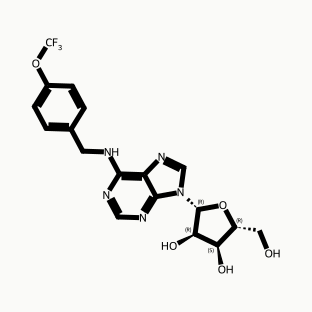 OC[C@H]1O[C@@H](n2cnc3c(NCc4ccc(OC(F)(F)F)cc4)ncnc32)[C@H](O)[C@@H]1O